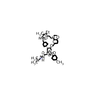 CCO[C@H](C)COCc1ccc([C@H]2C[C@H](CC(=O)N/N=C/N(C)C)N(S(=O)(=O)c3ccc(C)cc3)C[C@@H]2OCc2ccc3c(c2)N(CCCOC)CCO3)cc1